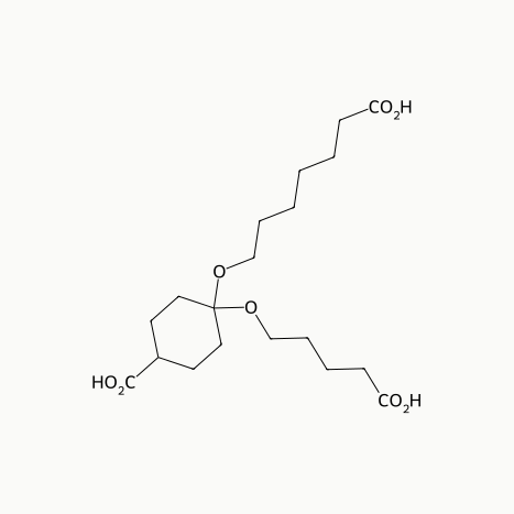 O=C(O)CCCCCCOC1(OCCCCC(=O)O)CCC(C(=O)O)CC1